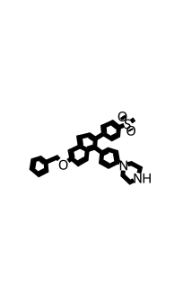 CS(=O)(=O)c1ccc(-c2ccc3cc(OCc4ccccc4)ccc3c2-c2ccc(N3CCNCC3)cc2)cc1